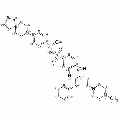 CN1CCN(CC[C@H](CSc2ccccc2)Nc2ccc(S(=O)(=O)NC(=O)c3ccc(N4CCC5(CCCC5)CC4)cc3)cc2[N+](=O)[O-])CC1